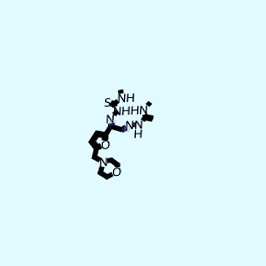 C=C(NC)N/N=C/C(=N\NC(=S)NC)c1ccc(CN2CCOCC2)o1